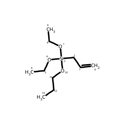 C=CC[Si](OCC)(OCC)OCCC